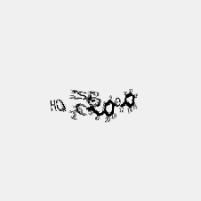 C[Si](C)(C)OC(Cc1ccc(OCc2ccccc2)cc1)C(=O)O